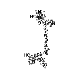 C=CC(=O)N1CCN(c2nc(NCCC(=O)N(C)CCOCCOCCOCCOCCOc3cc(-c4scnc4C)ccc3CNC(=O)[C@@H]3C[C@@H](O)CN3C(=O)[C@@H](c3cc(C)no3)C(C)C)nc3c(F)c(-c4cc(O)cc5ccccc45)c(Cl)cc23)CC1